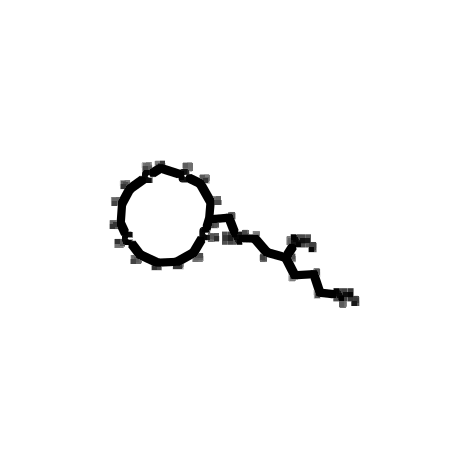 NCCCC(N)CCNCC1CCCCCCCCCCCCCC1